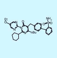 CCCCc1nc(C2CCCCC2)n(-c2ncc(OCC)cn2)c(=O)c1Cc1ccc(-c2ccccc2S(N)(=O)=O)cc1